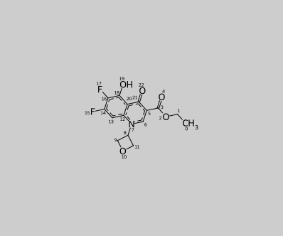 CCOC(=O)c1cn(C2COC2)c2cc(F)c(F)c(O)c2c1=O